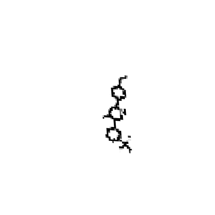 CCc1ccc(-c2cc(C)c(-c3cccc(C(F)(F)F)c3)cn2)cc1